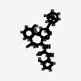 CC1=NC(NC(=O)Nc2sccc2C)C(=O)N(CC(=O)N2CC3CCC(CC3)C2)c2c(C)cccc21